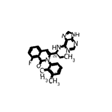 CC[C@H](Nc1ncnc2[nH]cnc12)c1cc2cccc(F)c2c(=O)n1-c1cccc(C)c1C